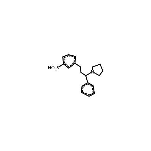 O=S(=O)(O)c1cccc(CCC(c2ccccc2)N2CCCC2)c1